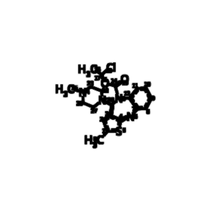 Cc1cc2c(s1)=Nc1ccccc1N(C(=O)OC(C)Cl)C=2N1CCN(C)CC1